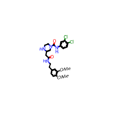 COc1ccc(CCNC(=O)CC2CN(C(=O)Nc3ccc(Cl)c(Cl)c3)CCN2)cc1OC